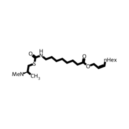 CCCCCC/C=C\COC(=O)CCCCCCCNC(=O)SC[C@@H](C)NC